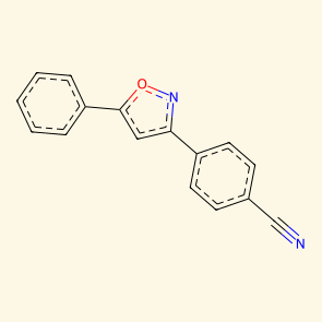 N#Cc1ccc(-c2cc(-c3ccccc3)on2)cc1